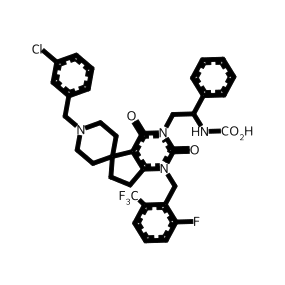 O=C(O)NC(Cn1c(=O)c2c(n(Cc3c(F)cccc3C(F)(F)F)c1=O)CCC21CCN(Cc2cccc(Cl)c2)CC1)c1ccccc1